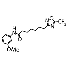 COc1cccc(NC(=O)CCCCCCc2noc(C(F)(F)F)n2)c1